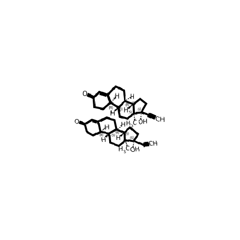 C#C[C@]1(O)CC[C@H]2[C@@H]3CCC4=CC(=O)CC[C@@H]4[C@H]3CC[C@@]21C.C#C[C@]1(O)CC[C@H]2[C@@H]3CCC4=CC(=O)CC[C@@H]4[C@H]3CC[C@@]21C